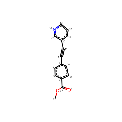 COC(=O)c1ccc(C#Cc2cccnc2)cc1